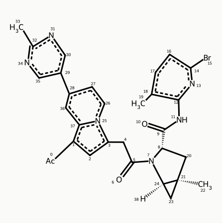 CC(=O)c1cc(CC(=O)N2[C@H](C(=O)Nc3nc(Br)ccc3C)C[C@@]3(C)C[C@@H]23)n2ccc(-c3cnc(C)nc3)cc12